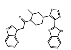 CC1CN(c2scnc2-c2nc3ccccc3[nH]2)CCN1C(=O)Cn1cnc2cccnc21